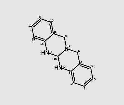 c1ccc2c(c1)CN1Cc3ccccc3NC1N2